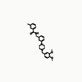 COc1ccc(CN2CCN(c3cccc(CNC(=O)c4cccc(C)c4)c3)CC2)cc1OC